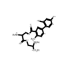 CCOC(=O)C(CSC(=O)C(CSC(=O)c1cc(-c2ccc(F)cc2F)ccc1OC(C)=O)NC(C)=O)NC(C)=O